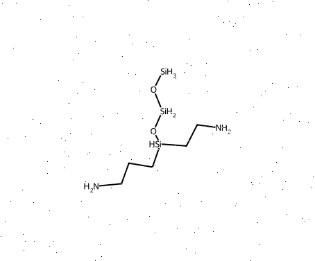 NCCC[SiH](CCN)O[SiH2]O[SiH3]